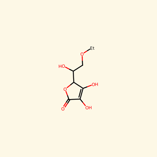 CCOCC(O)C1OC(=O)C(O)=C1O